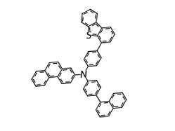 c1ccc2c(-c3ccc(N(c4ccc(-c5cccc6c5sc5ccccc56)cc4)c4ccc5c(ccc6ccccc65)c4)cc3)cccc2c1